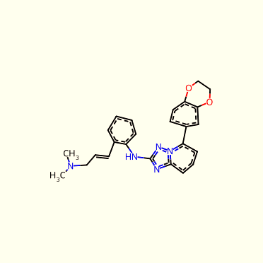 CN(C)C/C=C/c1ccccc1Nc1nc2cccc(-c3ccc4c(c3)OCCO4)n2n1